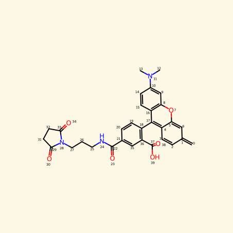 C=c1ccc2c(c1)Oc1cc(N(C)C)ccc1C=2c1ccc(C(=O)NCCCN2C(=O)CCC2=O)cc1C(=O)O